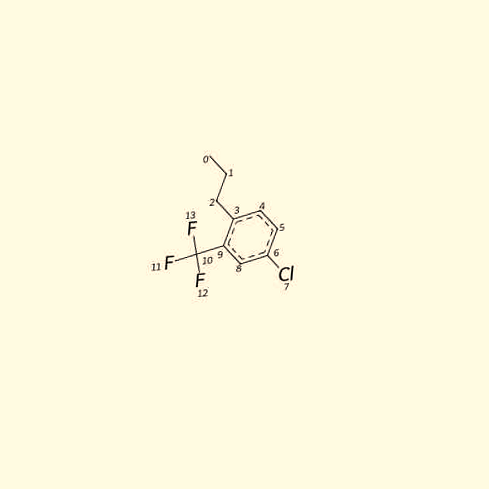 CCCc1ccc(Cl)cc1C(F)(F)F